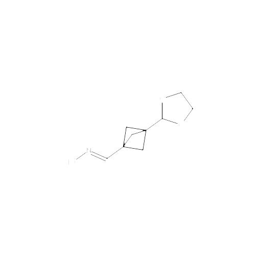 ON=CC12CC(C3OCCO3)(C1)C2